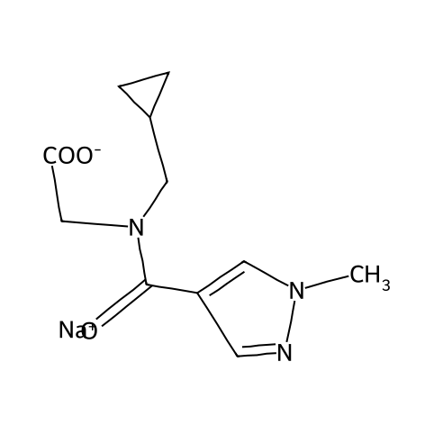 Cn1cc(C(=O)N(CC(=O)[O-])CC2CC2)cn1.[Na+]